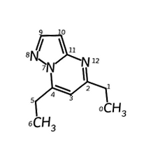 CCc1cc(CC)n2nccc2n1